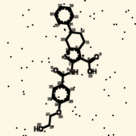 O=C(Nc1sc2c(c1C(=O)O)CCC(c1ccccc1)C2)c1ccc(OCCO)cc1